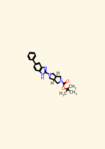 CC(C)(C)OC(=O)N1C[C@@H]2CN(c3nc4cc(-c5ccccc5)ccc4[nH]3)C[C@@H]2C1